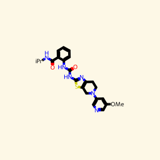 COc1cncc(N2CCc3nc(NC(=O)Nc4ccccc4C(=O)NC(C)C)sc3C2)c1